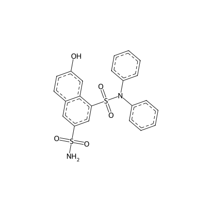 NS(=O)(=O)c1cc(S(=O)(=O)N(c2ccccc2)c2ccccc2)c2cc(O)ccc2c1